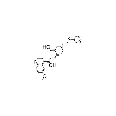 COc1ccc2nccc([C@H](O)CC[C@@H]3CCN(CCSc4ccsc4)C[C@@H]3CO)c2c1